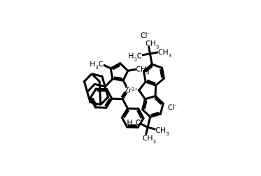 CC1=CC(C)[C]([Zr+2](=[C](c2ccccc2)c2ccccc2)[CH]2c3cc(C(C)(C)C)ccc3-c3ccc(C(C)(C)C)cc32)=C1C12CC3CC(CC(C3)C1)C2.[Cl-].[Cl-]